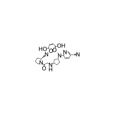 CN(c1ccc(C#N)cn1)C1CCC(NCC(=O)N2CCC[C@H]2C#N)C1.O=C(O)/C=C\C(=O)O